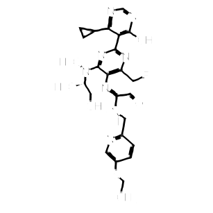 CCSc1ccc(CN/C(C=O)=N/c2c(CF)nc(-c3c(C)ncnc3C3CC3)nc2N(C)[C@H](C)CC)nc1